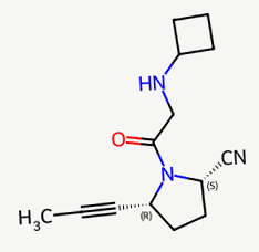 CC#C[C@H]1CC[C@@H](C#N)N1C(=O)CNC1CCC1